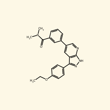 CCOc1ccc(-c2n[nH]c3ncc(-c4cccc(C(=O)N(C)C)c4)cc23)cc1